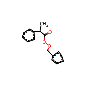 CC(C(=O)OOCc1ccccc1)c1ccccc1